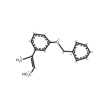 CC(=CC(=O)O)c1cccc(OCc2ccccc2)c1